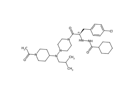 CC(=O)N1CCC(N(CC(C)C)N2CCN(C(=O)[C@@H](Cc3ccc(Cl)cc3)NNC(=O)C3CCCCC3)CC2)CC1